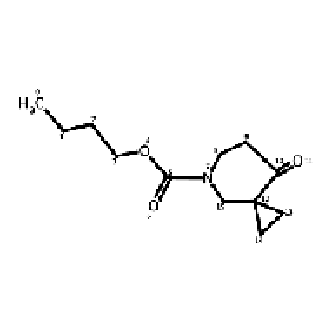 CCCCOC(=O)N1CCC(=O)C2(CC2)C1